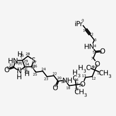 CC(C)C#CCNC(=O)COC(C)(C)CCOC(C)(C)CNC(=O)CCCC[C@@H]1SC[C@@H]2NC(=O)N[C@@H]21